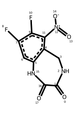 O=C1NCc2c(cc(F)c(F)c2[N+](=O)[O-])NC1=O